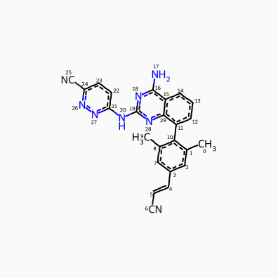 Cc1cc(C=CC#N)cc(C)c1-c1cccc2c(N)nc(Nc3ccc(C#N)nn3)nc12